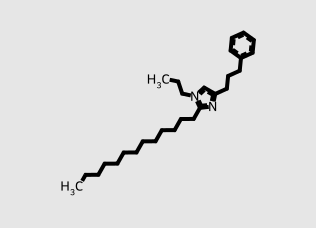 CCCCCCCCCCCCCc1nc(CCCc2ccccc2)cn1CCC